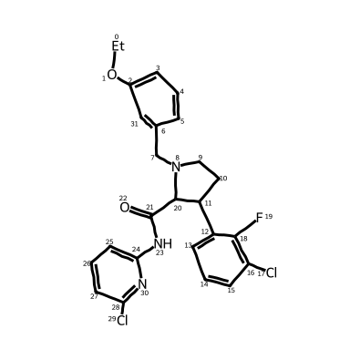 CCOc1cccc(CN2CCC(c3cccc(Cl)c3F)C2C(=O)Nc2cccc(Cl)n2)c1